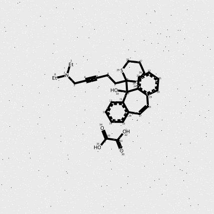 CCN(CC)CC#CCCC1(C2(O)c3ccccc3C=Cc3ccccc32)SCCCS1.O=C(O)C(=O)O